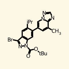 Cc1cc(-c2cc3c(cc2C(C)C)c(Br)nn3C(=O)OC(C)(C)C)cn2ncnc12